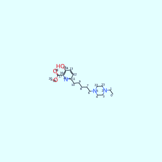 CCN1CCN(CCCCCc2ccc(O)c(C(=O)OC)n2)CC1